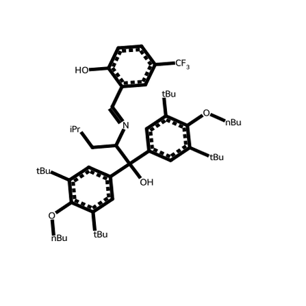 CCCCOc1c(C(C)(C)C)cc(C(O)(c2cc(C(C)(C)C)c(OCCCC)c(C(C)(C)C)c2)C(CC(C)C)N=Cc2cc(C(F)(F)F)ccc2O)cc1C(C)(C)C